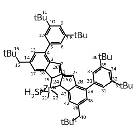 CC1=Cc2c(-c3cc(C(C)(C)C)cc(C(C)(C)C)c3)cc(CC(C)(C)C)cc2[CH]1[Zr]([CH3])([CH3])(=[SiH2])[CH]1C(C)=Cc2c(-c3cc(C(C)(C)C)cc(C(C)(C)C)c3)cc(CC(C)(C)C)cc21